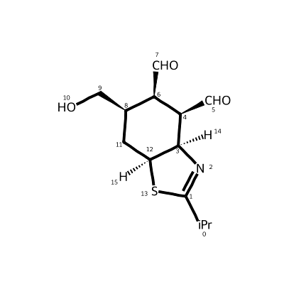 CC(C)C1=N[C@@H]2[C@H](C=O)[C@H](C=O)[C@H](CO)C[C@@H]2S1